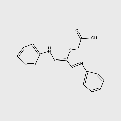 O=C(O)CSC(=C\Nc1ccccc1)/C=N/c1ccccc1